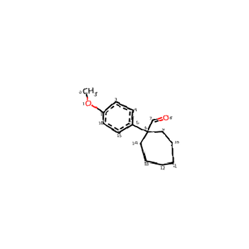 COc1ccc(C2(C=O)CCCCCC2)cc1